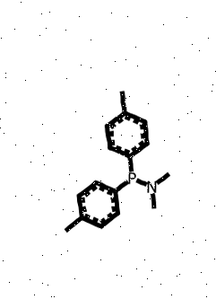 Cc1ccc(P(c2ccc(C)cc2)N(C)C)cc1